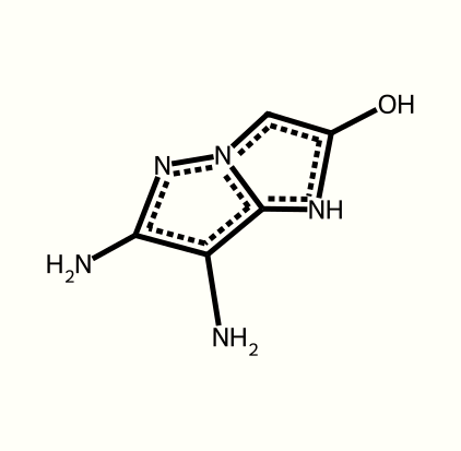 Nc1nn2cc(O)[nH]c2c1N